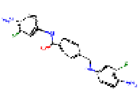 Nc1ccc(NCc2ccc(C(=O)Nc3ccc(N)c(F)c3)cc2)cc1F